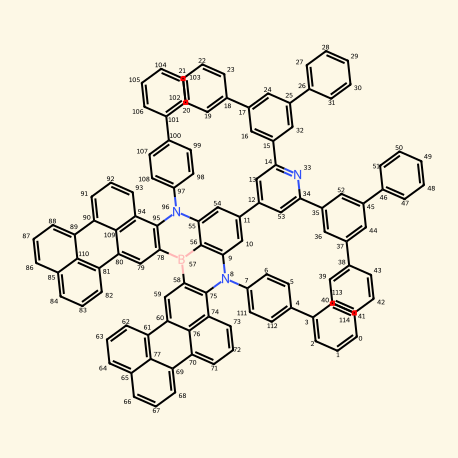 c1ccc(-c2ccc(N3c4cc(-c5cc(-c6cc(-c7ccccc7)cc(-c7ccccc7)c6)nc(-c6cc(-c7ccccc7)cc(-c7ccccc7)c6)c5)cc5c4B(c4cc6c7cccc8cccc(c9cccc(c43)c96)c87)c3cc4c6cccc7cccc(c8cccc(c3N5c3ccc(-c5ccccc5)cc3)c84)c76)cc2)cc1